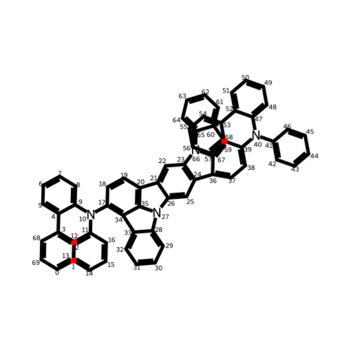 c1ccc(-c2ccccc2N(c2ccccc2)c2ccc3c4cc5c(cc4n4c6ccccc6c2c34)c2ccc(N(c3ccccc3)c3ccccc3-c3ccccc3)c3c4ccccc4n5c23)cc1